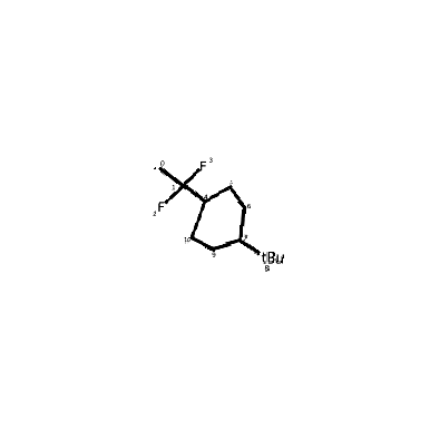 [CH2]C(F)(F)C1CCC(C(C)(C)C)CC1